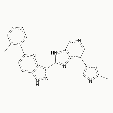 Cc1cn(-c2cncc3[nH]c(-c4n[nH]c5ccc(-c6cnccc6C)nc45)nc23)cn1